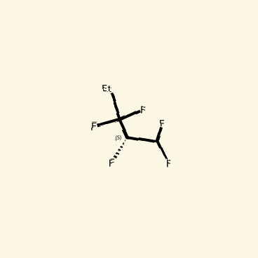 [CH2]CC(F)(F)[C@@H](F)C(F)F